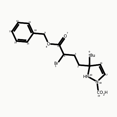 CC(C)(C)C1(CCC(Br)C(=O)OCc2ccccc2)C=CN(C(=O)O)N1